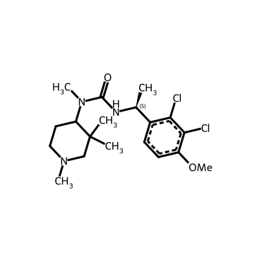 COc1ccc([C@H](C)NC(=O)N(C)C2CCN(C)CC2(C)C)c(Cl)c1Cl